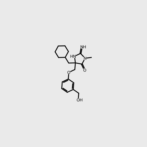 CN1C(=N)NC(COc2cccc(CO)c2)(CC2CCCCC2)C1=O